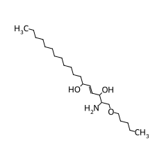 CCCCCCCCCCCCC(O)/C=C/C(O)C(N)COCCCCC